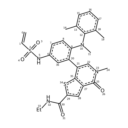 C=CS(=O)(=O)Nc1ccc(N(C)c2c(C)cccc2C)c(-c2cn(C)c(=O)c3cc(C(=O)NCC)sc23)c1